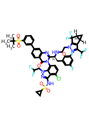 CC(C)(C)S(=O)(=O)c1cccc(-c2ccc3c(=O)n(-c4ccc(Cl)c5c(NS(=O)(=O)C6CC6)nn(CC(F)F)c45)c([C@H](Cc4cc(F)cc(F)c4)NC(=O)Cn4nc(C(F)F)c5c4C(F)(F)[C@@H]4C[C@H]54)nc3c2)c1